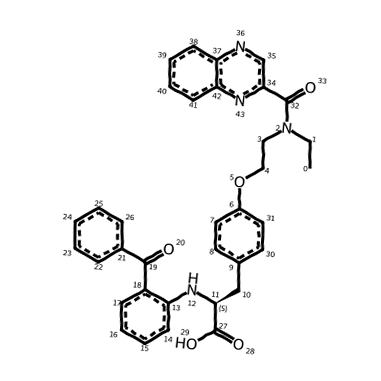 CCN(CCOc1ccc(C[C@H](Nc2ccccc2C(=O)c2ccccc2)C(=O)O)cc1)C(=O)c1cnc2ccccc2n1